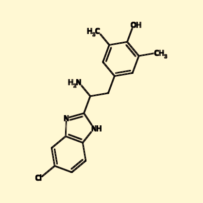 Cc1cc(CC(N)c2nc3cc(Cl)ccc3[nH]2)cc(C)c1O